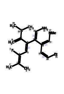 C=C(C(=C\C(F)=C(C)C)/C(=C/N)C(/C=C\CC)=C\NC)N(C)C